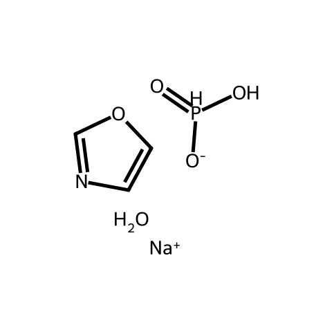 O.O=[PH]([O-])O.[Na+].c1cocn1